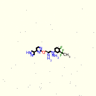 CC(F)(F)c1cc(N(N)/C=C(\N)COc2nccc(-c3cn[nH]c3)n2)ccc1F